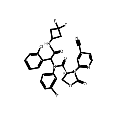 N#Cc1ccnc(N2C(=O)OC[C@H]2C(=O)N(c2cccc(F)c2)C(C(=O)NC2CC(F)(F)C2)c2ccccc2Cl)c1